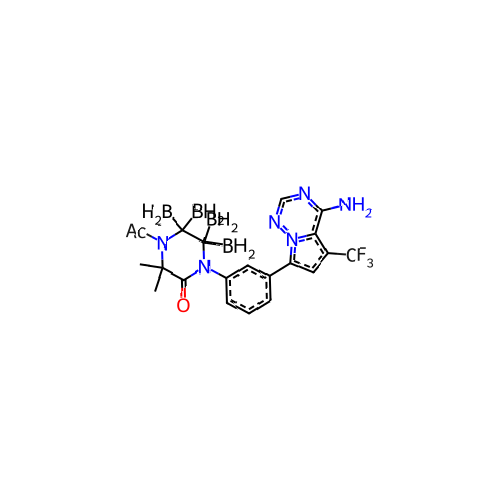 BC1(B)N(c2cccc(-c3cc(C(F)(F)F)c4c(N)ncnn34)c2)C(=O)C(C)(C)N(C(C)=O)C1(B)B